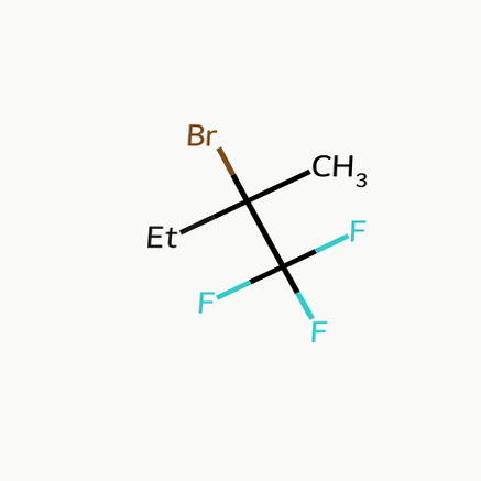 CCC(C)(Br)C(F)(F)F